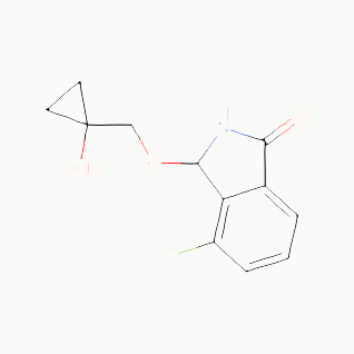 O=C1NC(OCC2(O)CC2)c2c(F)cccc21